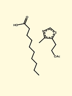 CC(=O)OCCc1scnc1C.CCCCCCCCCC(=O)O